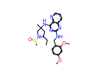 CCCCC(C)(CN[S+](C)[O-])Nc1nc(NCc2ccc(OC)cc2OC)nc2cccnc12